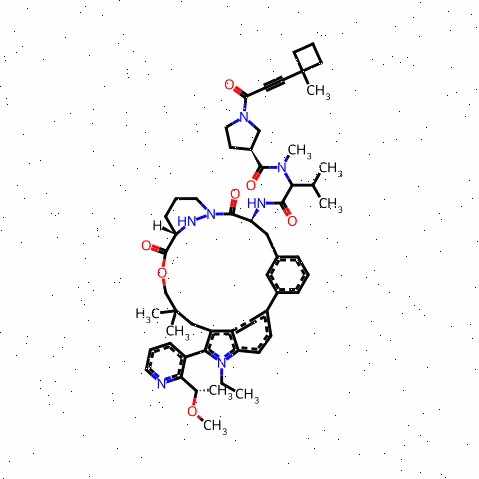 CCn1c(-c2cccnc2[C@H](C)OC)c2c3cc(ccc31)-c1cccc(c1)C[C@H](NC(=O)C(C(C)C)N(C)C(=O)[C@H]1CCN(C(=O)C#CC3(C)CCC3)C1)C(=O)N1CCC[C@H](N1)C(=O)OCC(C)(C)C2